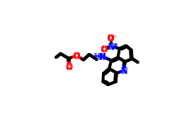 CCC(=O)OCCCNc1c2ccccc2nc2c(C)ccc([N+](=O)[O-])c12